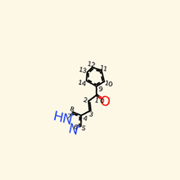 O=C(C=Cc1cn[nH]c1)c1ccccc1